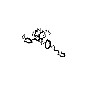 COc1cc(-c2cc(C(=O)N[C@H]3CC[C@H](OCCN4CCCC4)CC3)c3c(N)ncnn23)ccn1